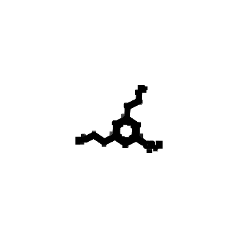 CC(C)CCc1cc(CCC(C)C)cc(C(=O)O)c1